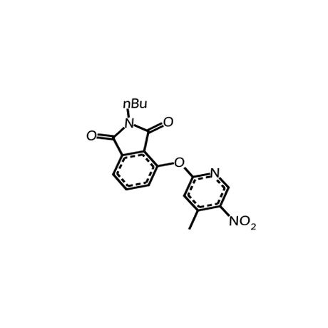 CCCCN1C(=O)c2cccc(Oc3cc(C)c([N+](=O)[O-])cn3)c2C1=O